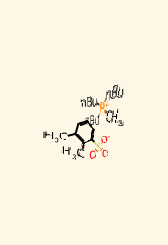 CCCC[P+](C)(CCCC)CCCC.Cc1cccc(S(=O)(=O)[O-])c1C